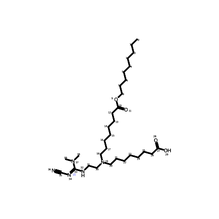 CCCCCCCCCOC(=O)CCCCCCCN(CCCCCCCC(=O)O)CCN/C(=N/C#N)N(C)C